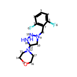 Fc1cccc(F)c1CN1CC(N2CCOCC2)NN1